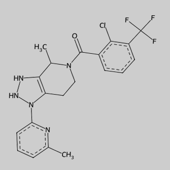 Cc1cccc(N2NNC3=C2CCN(C(=O)c2cccc(C(F)(F)F)c2Cl)C3C)n1